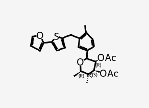 CC(=O)O[C@H]1[C@H](C)[C@@H](C)OC(c2ccc(C)c(Cc3ccc(-c4ccco4)s3)c2)[C@@H]1OC(C)=O